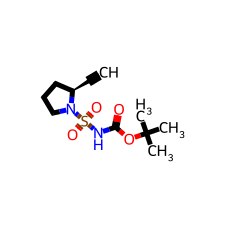 C#C[C@@H]1CCCN1S(=O)(=O)NC(=O)OC(C)(C)C